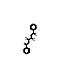 O=C(CC(=O)c1ccccc1)C(=O)CC(=O)c1ccccc1